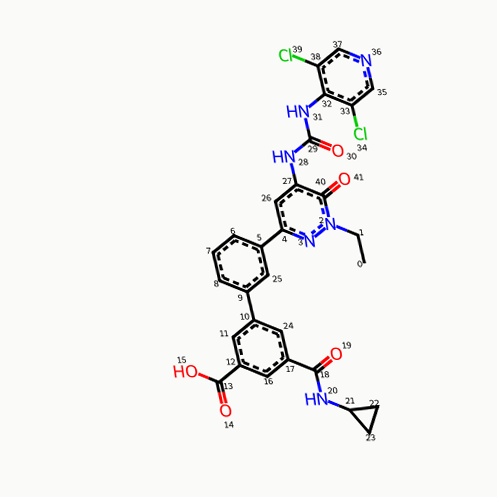 CCn1nc(-c2cccc(-c3cc(C(=O)O)cc(C(=O)NC4CC4)c3)c2)cc(NC(=O)Nc2c(Cl)cncc2Cl)c1=O